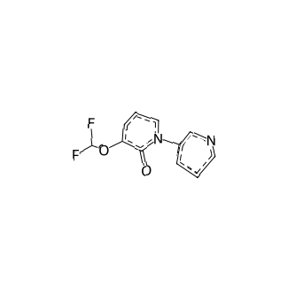 O=c1c(OC(F)F)cccn1-c1cccnc1